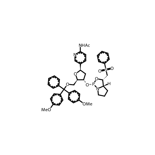 COc1ccc(C(OC[C@H]2O[C@@H](c3ccc(NC(C)=O)nc3)C[C@@H]2O[P@]2O[C@H](CS(=O)(=O)c3ccccc3)[C@@H]3CCCN32)(c2ccccc2)c2ccc(OC)cc2)cc1